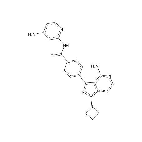 Nc1ccnc(NC(=O)c2ccc(-c3nc(N4CCC4)n4ccnc(N)c34)cc2)c1